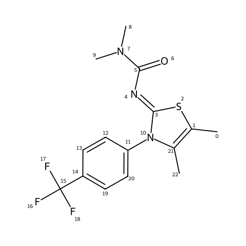 Cc1sc(=NC(=O)N(C)C)n(-c2ccc(C(F)(F)F)cc2)c1C